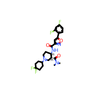 CN(C)C(=O)[C@@H]1CN(C2CCC(F)(F)CC2)CC[C@H]1NC(=O)c1cc(-c2ccc(F)cc2F)on1